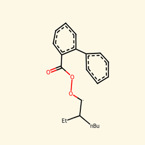 CCCCC([CH]OOC(=O)c1ccccc1-c1ccccc1)CC